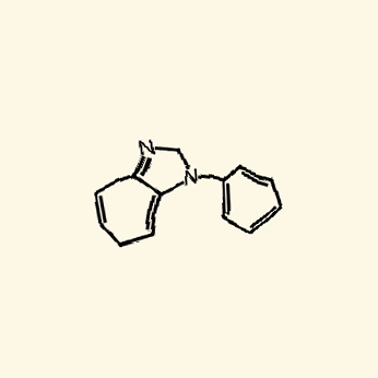 C1=CC2=NCN(c3ccccc3)C2=CC1